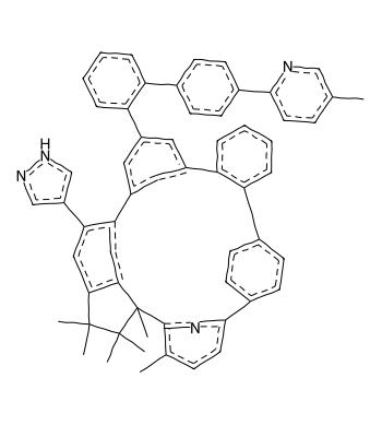 Cc1ccc(-c2ccc(-c3ccccc3-c3cc4cc(c3)-c3cc5c(cc3-c3cn[nH]c3)C(C)(C)C(C)(C)C5(C)c3nc(ccc3C)-c3ccc(cc3)-c3ccccc3-4)cc2)nc1